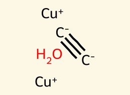 O.[C-]#[C-].[Cu+].[Cu+]